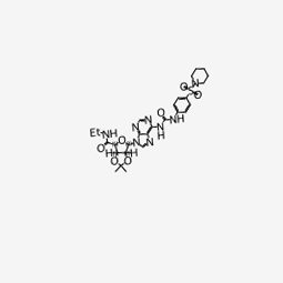 CCNC(=O)[C@H]1O[C@@H](n2cnc3c(NC(=O)Nc4ccc(S(=O)(=O)N5CCCCC5)cc4)ncnc32)[C@@H]2OC(C)(C)O[C@@H]21